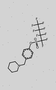 O=S(=O)(Oc1ccc(CN2CCCCC2)cc1)C(F)(F)C(F)(F)C(F)(F)C(F)(F)F